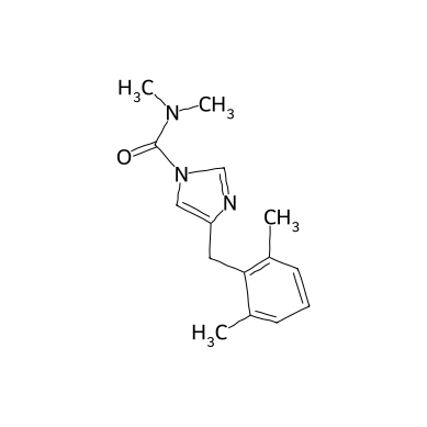 Cc1cccc(C)c1Cc1cn(C(=O)N(C)C)cn1